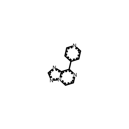 c1cc(-c2nccn3ncnc23)ccn1